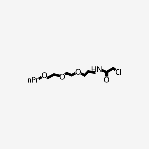 CCCOCCOCCOCCCNC(=O)CCl